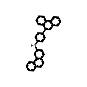 c1ccc2c(c1)ccc1ccc(Nc3ccc(-c4cc5ccccc5c5ccccc45)cc3)cc12